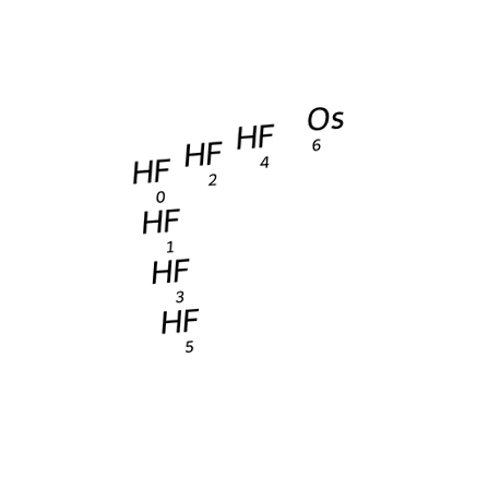 F.F.F.F.F.F.[Os]